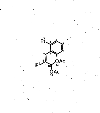 CCc1ccccc1C=C(C(C)C)C(OC(C)=O)OC(C)=O